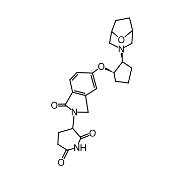 O=C1CCC(N2Cc3cc(O[C@@H]4CCC[C@@H]4N4CC5CCC(C4)O5)ccc3C2=O)C(=O)N1